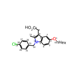 CCCCCCOc1ccc2c(c1)c(CC(=O)O)c(C)n2Cc1ccc(Cl)cc1